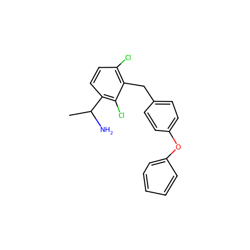 CC(N)c1ccc(Cl)c(Cc2ccc(Oc3ccccc3)cc2)c1Cl